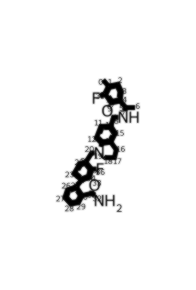 Cc1ccc(C(C)NC(=O)c2ccc3c(c2)CCCN3Cc2ccc(-c3ccccc3C(N)=O)cc2F)cc1F